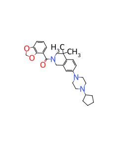 CC1(C)CN(C(=O)c2cccc3c2OCO3)Cc2cc(N3CCN(C4CCCC4)CC3)ccc21